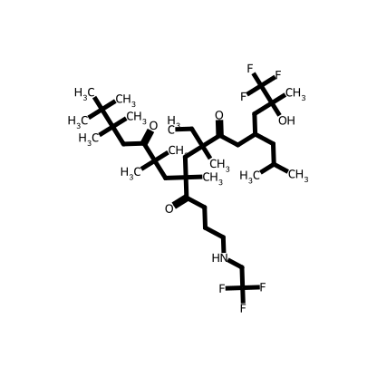 CCC(C)(CC(C)(CC(C)(C)C(=O)CC(C)(C)C(C)(C)C)C(=O)CCCNCC(F)(F)F)C(=O)CC(CC(C)C)CC(C)(O)C(F)(F)F